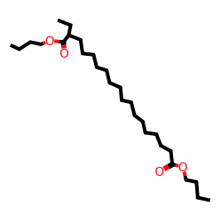 CCCCOC(=O)CCCCCCCCCCCCCCCC(CC)C(=O)OCCCC